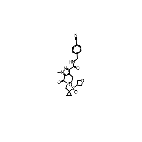 Cn1nc(C(=O)NCc2ccc(C#N)cc2)c2c1C(=O)N(CC1(S(=O)(=O)C3COC3)CC1)CC2